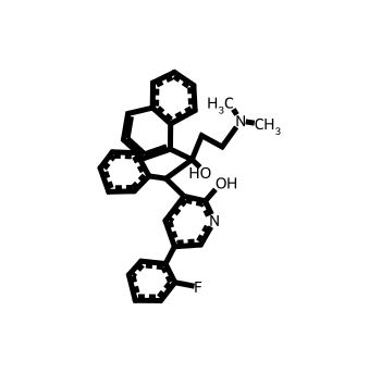 CN(C)CCC(O)(C1=C=C=Cc2ccccc21)C(c1ccccc1)c1cc(-c2ccccc2F)cnc1O